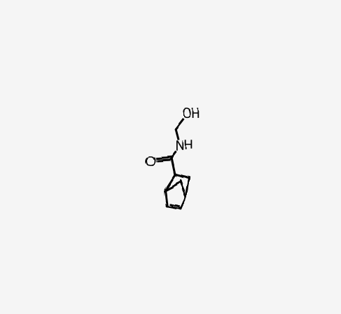 O=C(NCO)C1CC2C=CC1C2